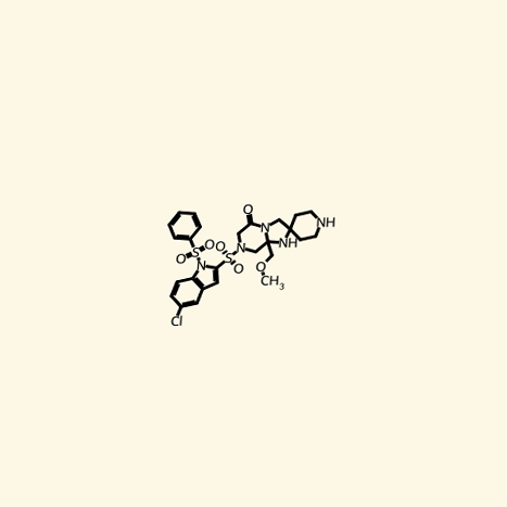 COCC12CN(S(=O)(=O)c3cc4cc(Cl)ccc4n3S(=O)(=O)c3ccccc3)CC(=O)N1CC1(CCNCC1)N2